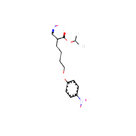 CC(C)OC(=O)C(/C=N\O)CCCCOc1ccc([N+](=O)[O-])cc1